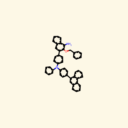 Nc1c(OCc2ccccc2)c(-c2ccc(N(c3ccccc3)c3ccc(-c4cc5ccccc5c5ccccc45)cc3)cc2)cc2ccccc12